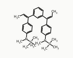 C/C=C(/c1ccc(N(C)[Si](C)(C)C)cc1)c1cccc(/C(=C/C)c2ccc(N(C)[Si](C)(C)C)cc2)c1